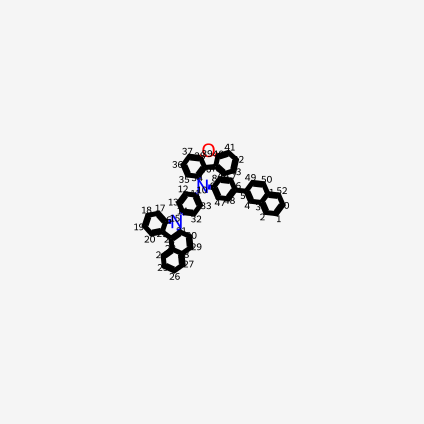 c1ccc2cc(-c3ccc(N(c4ccc(-n5c6ccccc6c6c7ccccc7ccc65)cc4)c4cccc5oc6ccccc6c45)cc3)ccc2c1